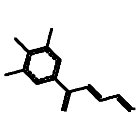 [CH]=CC=CC(=C)c1cc(C)c(C)c(C)c1